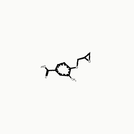 Cc1cc(C(=O)O)ccc1OCC1CO1